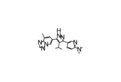 Cc1cc(-c2[nH]nc(-c3ccc(N(C)C)nc3)c2C(C)C)cn2ncnc12